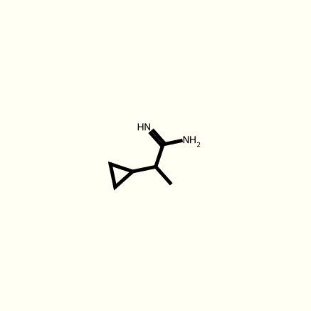 CC(C(=N)N)C1CC1